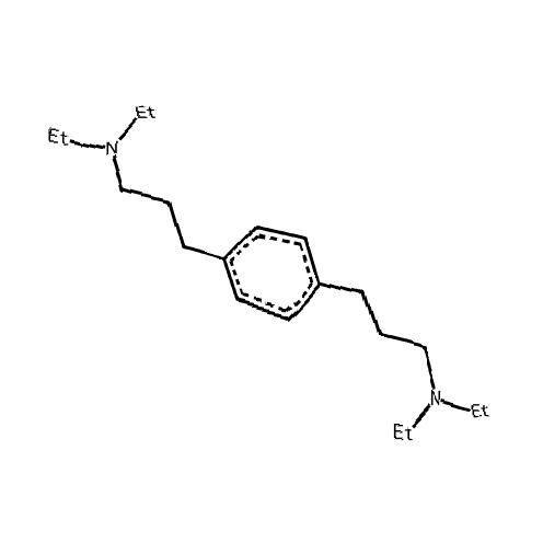 CCN(CC)CCCc1ccc(CCCN(CC)CC)cc1